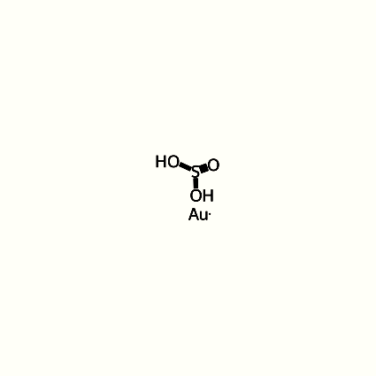 O=S(O)O.[Au]